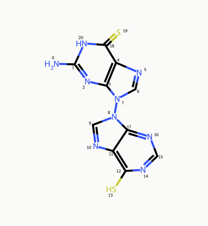 Nc1nc2c(ncn2-n2cnc3c(S)ncnc32)c(=S)[nH]1